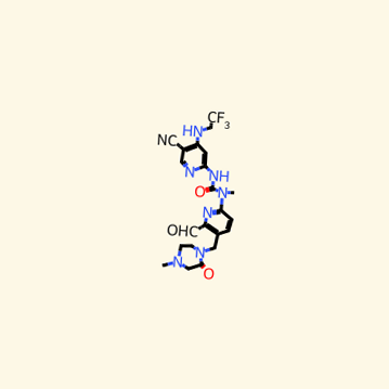 CN1CCN(Cc2ccc(N(C)C(=O)Nc3cc(NCC(F)(F)F)c(C#N)cn3)nc2C=O)C(=O)C1